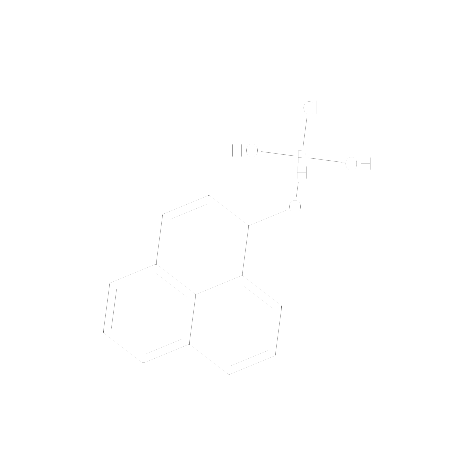 O[PH](O)(Cl)OC1C=Cc2cccc3cccc1c23